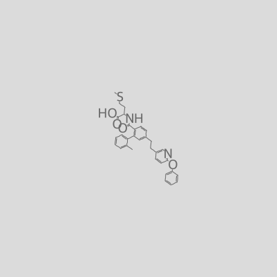 CSCCC(NC(=O)c1ccc(CCc2ccc(Oc3ccccc3)nc2)cc1-c1ccccc1C)C(=O)O